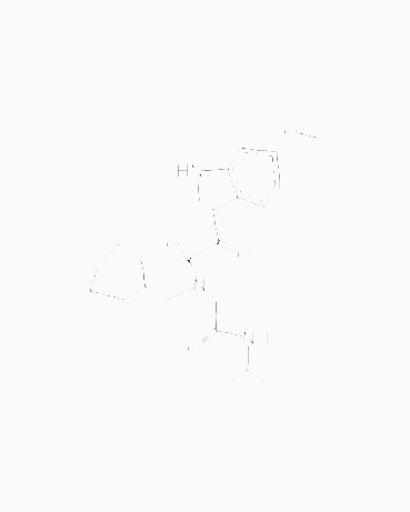 COc1ccc2c(c1)NCC2C(=O)C(=O)N(CC(=O)NC(C)C)CC1CCCCC1